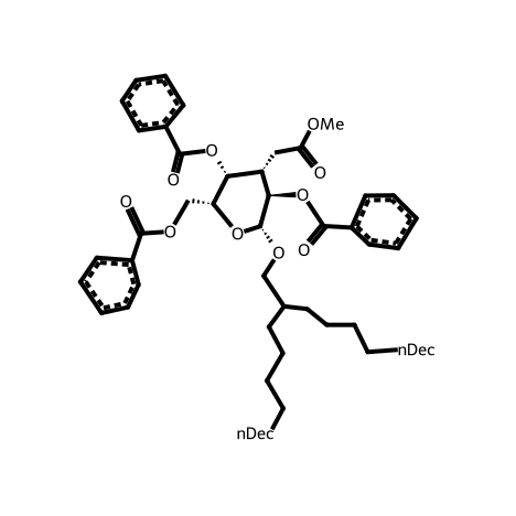 CCCCCCCCCCCCCCC(CCCCCCCCCCCCCC)CO[C@@H]1O[C@H](COC(=O)c2ccccc2)[C@H](OC(=O)c2ccccc2)[C@H](CC(=O)OC)[C@H]1OC(=O)c1ccccc1